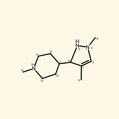 CC1=CN(C)NC1C1CCN(C)CC1